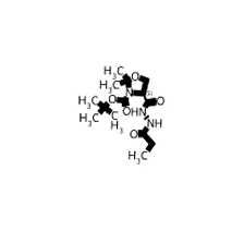 CCC(=O)NNC(=O)[C@@H]1COC(C)(C)N1C(=O)OC(C)(C)C